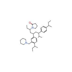 CCC(C)c1ccc(C(CC(CC(CC)N2CCCC2=O)c2ccc(C(C)CC)c(CN3CCCCC3)c2)C(C)C)cc1